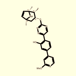 COc1cc(-c2ccc(-c3cnc(O[C@@H]4C[C@@]5(C)C=C[C@](C)(N5)[C@@H]4F)nn3)c(O)c2)ccn1